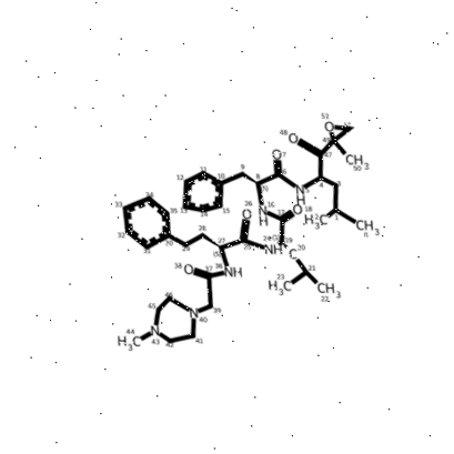 CC(C)CC(NC(=O)[C@H](Cc1ccccc1)NC(=O)[C@H](CC(C)C)NC(=O)[C@H](CCc1ccccc1)NC(=O)CN1CCN(C)CC1)C(=O)C1(C)CO1